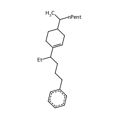 CCCCCC(C)C1CC=C(C(CC)CCCc2ccccc2)CC1